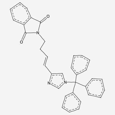 O=C1c2ccccc2C(=O)N1CCC=Cc1cn(C(c2ccccc2)(c2ccccc2)c2ccccc2)cn1